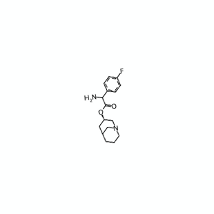 NC(C(=O)O[C@@H]1CC2CCCN(C2)C1)c1ccc(F)cc1